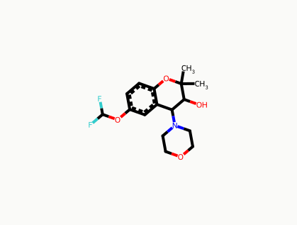 CC1(C)Oc2ccc(OC(F)F)cc2C(N2CCOCC2)C1O